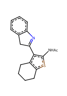 CC(=O)Nc1sc2c(c1C1=Nc3ccccc3C1)CCCC2